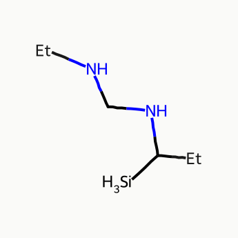 CCNCNC([SiH3])CC